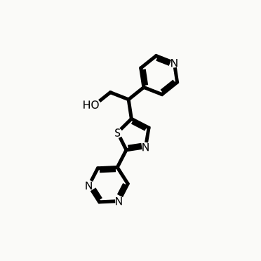 OCC(c1ccncc1)c1cnc(-c2cncnc2)s1